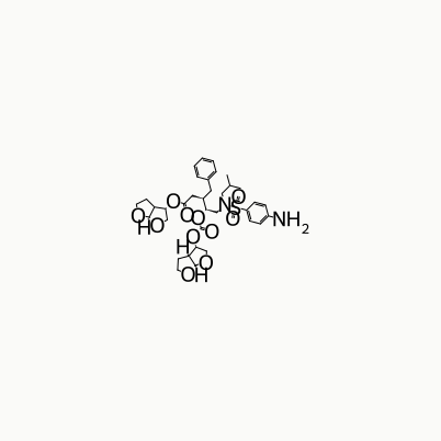 CC(C)CN(C[C@@H](OC(=O)O[C@@H]1CO[C@@H]2OCC[C@@H]21)[C@@H](CC(=O)OC1CO[C@H]2OCCC12)Cc1ccccc1)S(=O)(=O)c1ccc(N)cc1